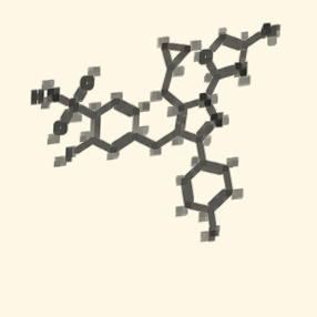 CC(=O)c1coc(-n2nc(-c3ccc(F)cc3)c(Cc3ccc(S(N)(=O)=O)c(F)c3)c2CC2CC2)n1